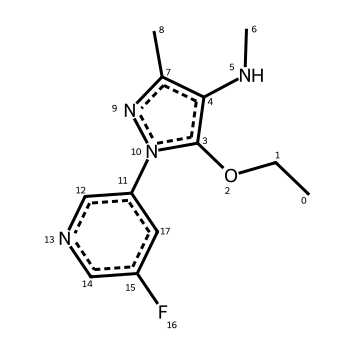 CCOc1c(NC)c(C)nn1-c1cncc(F)c1